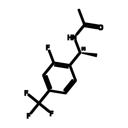 CC(=O)N[C@H](C)c1ccc(C(F)(F)F)cc1F